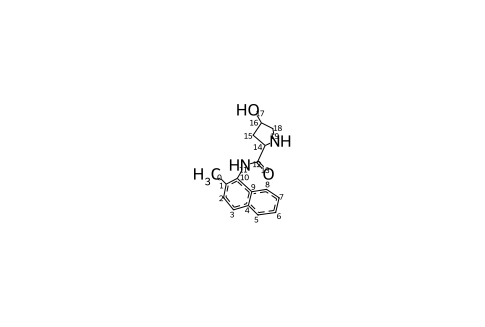 Cc1ccc2ccccc2c1NC(=O)C1CC(O)CN1